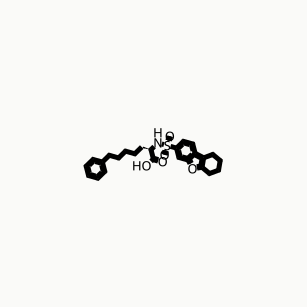 O=C(O)[C@H](CCCCCc1ccccc1)NS(=O)(=O)c1ccc2c3c(oc2c1)CCCC3